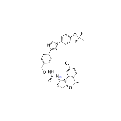 CC(C)c1ccc(Cl)cc1N1C(=O)CS/C1=N\C(=O)NOC(C)c1ccc(-c2ncn(-c3ccc(OC(F)(F)F)cc3)n2)cc1